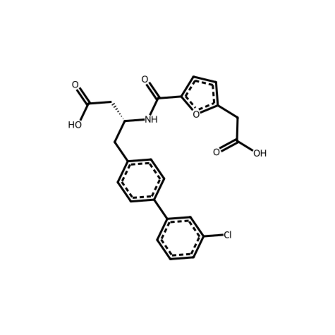 O=C(O)Cc1ccc(C(=O)N[C@@H](CC(=O)O)Cc2ccc(-c3cccc(Cl)c3)cc2)o1